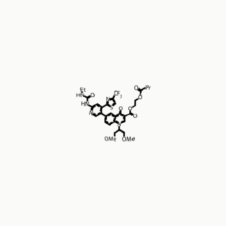 CCNC(=O)Nc1cc(-c2nc(C(F)(F)F)cs2)c(-c2ccc3c(c2)c(=O)c(C(=O)OCCOC(=O)C(C)C)cn3C(COC)COC)cn1